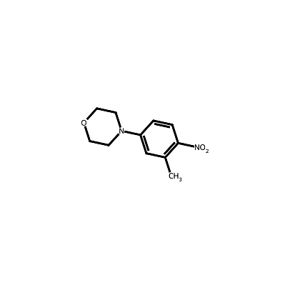 Cc1cc(N2CCOCC2)ccc1[N+](=O)[O-]